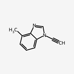 C#Cn1cnc2c(C)cccc21